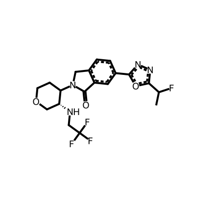 CC(F)c1nnc(-c2ccc3c(c2)C(=O)N(C2CCOC[C@H]2NCC(F)(F)F)C3)o1